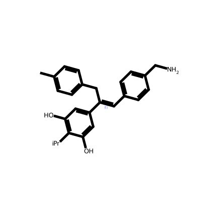 Cc1ccc(C/C(=C\c2ccc(CN)cc2)c2cc(O)c(C(C)C)c(O)c2)cc1